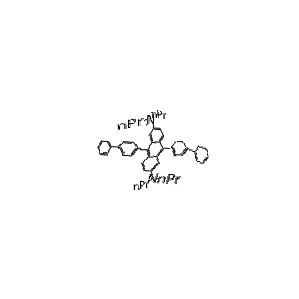 CCCN(CCC)c1ccc2c(-c3ccc(-c4ccccc4)cc3)c3cc(N(CCC)CCC)ccc3c(C3=CC=C(C4=CC=CCC4)CC3)c2c1